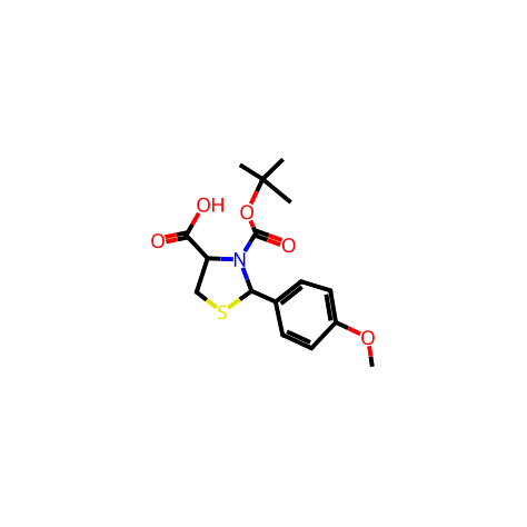 COc1ccc(C2SCC(C(=O)O)N2C(=O)OC(C)(C)C)cc1